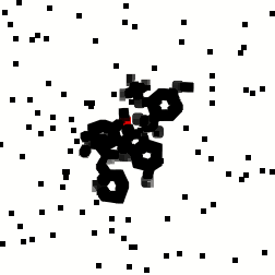 COc1ccc(S(=O)(=O)N2C(=O)C(N[C@@H](Cc3ccccn3)C(=O)N(C)C)(c3ccccc3OC)c3cc(Cl)ccc32)c(OC(F)(F)F)c1